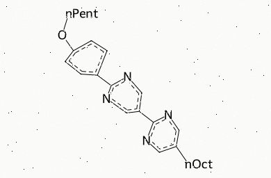 CCCCCCCCc1cnc(-c2cnc(-c3ccc(OCCCCC)cc3)nc2)nc1